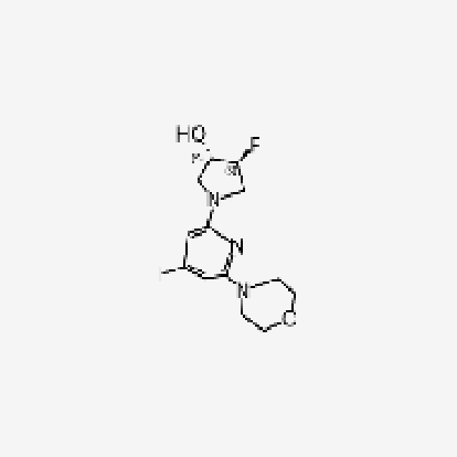 O[C@H]1CN(c2cc(I)cc(N3CCOCC3)n2)C[C@@H]1F